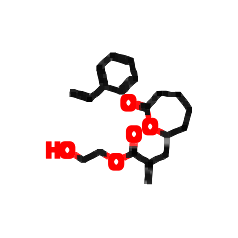 C=C(CC1CCCCC(=O)O1)C(=O)OCCO.C=Cc1ccccc1